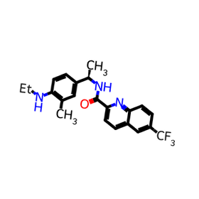 CCNc1ccc([C@@H](C)NC(=O)c2ccc3cc(C(F)(F)F)ccc3n2)cc1C